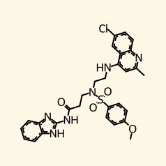 COc1ccc(S(=O)(=O)N(CCNc2cc(C)nc3ccc(Cl)cc23)CCC(=O)Nc2nc3ccccc3[nH]2)cc1